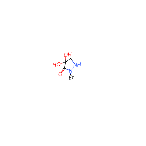 CCN1NCC(O)(O)C1=O